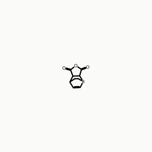 O=C1OC(=O)C2C3C=CB(CC3)C12